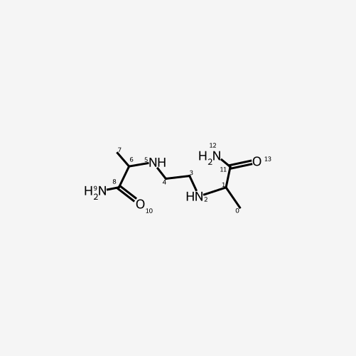 CC(NCCNC(C)C(N)=O)C(N)=O